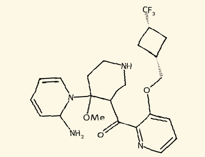 COC1(N2C=CC=CC2N)CCNCC1C(=O)c1ncccc1OC[C@H]1C[C@@H](C(F)(F)F)C1